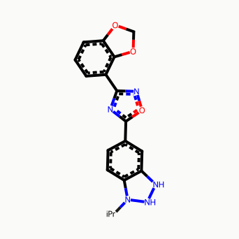 CC(C)N1NNc2cc(-c3nc(-c4cccc5c4OCO5)no3)ccc21